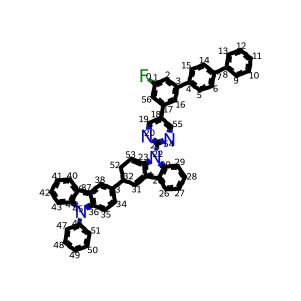 Fc1cc(-c2ccc(-c3ccccc3)cc2)cc(-c2cnc(-n3c4c(c5ccccc53)=CC(c3ccc5c(c3)c3ccccc3n5-c3ccccc3)CC=4)nc2)c1